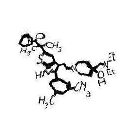 CCN(CC)CC1(O)CCN(CCc2c(-c3cc(C)cc(C)c3)[nH]c3sc(C(C)(C)C(=O)N4C5CCC4CC5)cc23)CC1